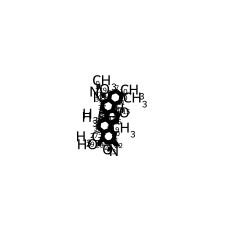 Cc1nnc([C@]23CCC(C)(C)C[C@H]2[C@H]2C(=O)C=C4[C@@]5(C)Cc6cnoc6[C@@](C)(CO)C5CC[C@@]4(C)[C@]2(C)CC3)o1